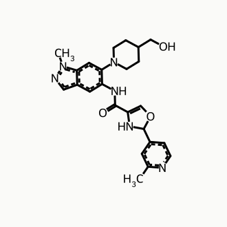 Cc1cc(C2NC(C(=O)Nc3cc4cnn(C)c4cc3N3CCC(CO)CC3)=CO2)ccn1